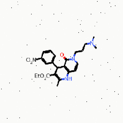 CCOC(=O)C1=C(C)Nc2ccn(CCCN(C)C)c(=O)c2C1c1cccc([N+](=O)[O-])c1